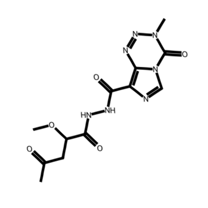 COC(CC(C)=O)C(=O)NNC(=O)c1ncn2c(=O)n(C)nnc12